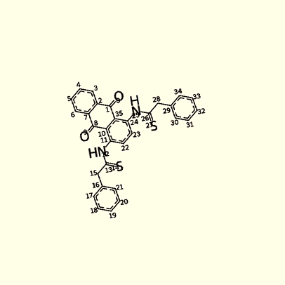 O=C1c2ccccc2C(=O)c2c(NC(=S)Cc3ccccc3)ccc(NC(=S)Cc3ccccc3)c21